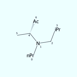 CCCN(CC(C)C)[C@H](C)C(C)=O